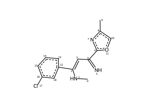 CN/C(=C\C(=N)c1nc(C)co1)c1cccc(Cl)c1